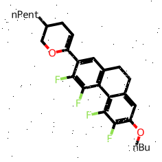 CCCCCC1CC=C(c2cc3c(c(F)c2F)-c2c(cc(OCCCC)c(F)c2F)CC3)OC1